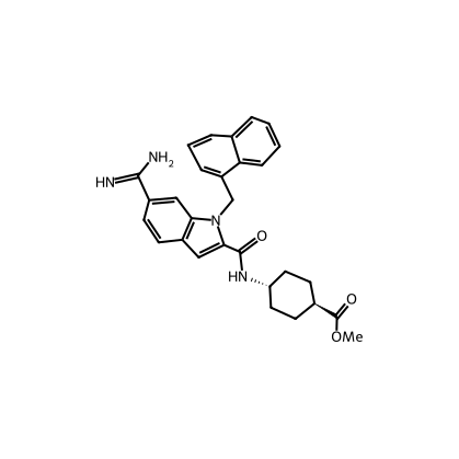 COC(=O)[C@H]1CC[C@H](NC(=O)c2cc3ccc(C(=N)N)cc3n2Cc2cccc3ccccc23)CC1